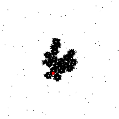 CC(C)(C)c1cccc2c1oc1c(N(c3ccccc3)c3ccc4c(c3)C(C)(C)c3c-4ccc4ccccc34)ccc(-c3cccc(C4(c5ccccc5)c5cc(N(c6ccccc6)c6cccc7c6oc6ccccc67)ccc5-c5c4cc(N(c4ccccc4)c4cccc6c4oc4ccccc46)c4ccccc54)c3)c12